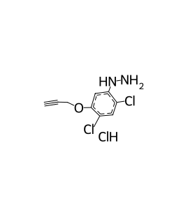 C#CCOc1cc(NN)c(Cl)cc1Cl.Cl